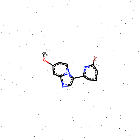 FC(F)(F)Oc1ccn2c(-c3cccc(Br)n3)cnc2c1